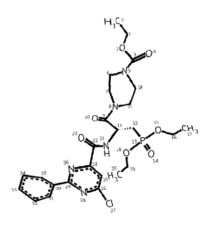 CCOC(=O)N1CCN(C(=O)[C@H](CP(=O)(OCC)OCC)NC(=O)c2cc(Cl)nc(-c3ccccc3)n2)CC1